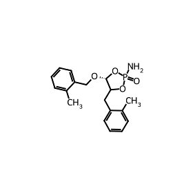 Cc1ccccc1CO[C@@H]1OP(N)(=O)OC1Cc1ccccc1C